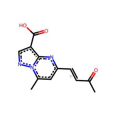 CC(=O)/C=C/c1cc(C)n2ncc(C(=O)O)c2n1